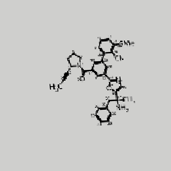 CC#C[C@H]1CCCN1C(=O)c1cc(-c2ncc([C@](C)(N)Cc3ccccc3)o2)cc(-c2cccc(SC)c2C#N)c1